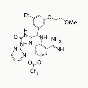 CCc1cc(OCCOC)cc(C(Nc2ccc(OC(=O)C(F)(F)F)cc2C(=N)N)c2nn(-c3ncccn3)c(=O)[nH]2)c1